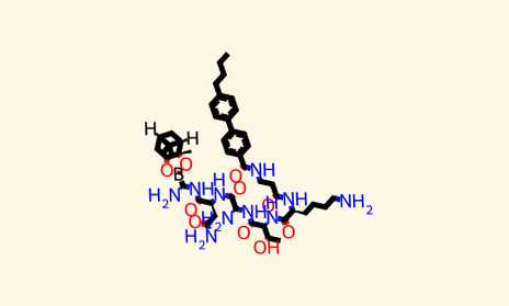 CCCCc1ccc(-c2ccc(C(=O)NCCC(=O)N[C@@H](CCCCN)C(=O)N[C@H](C(=O)N[C@@H](N)C(=O)N[C@@H](CC(N)=O)C(=O)N[C@@H](N)B3OC4C[C@@H]5C[C@@H](C5(C)C)[C@]4(C)O3)C(C)O)cc2)cc1